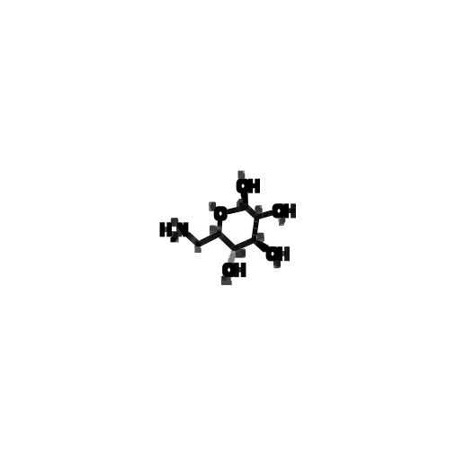 NCC1O[C@@H](O)C(O)[C@@H](O)[C@@H]1O